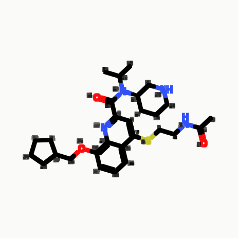 CC(=O)NCCSc1cc(C(=O)N(C(C)C)[C@@H]2CCCNC2)nc2c(OCC3CCCC3)cccc12